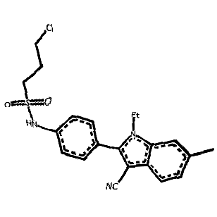 CCn1c(-c2ccc(NS(=O)(=O)CCCCl)cc2)c(C#N)c2ccc(C)cc21